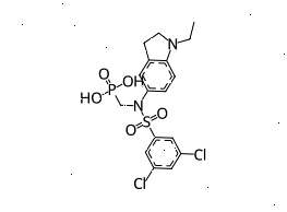 CCN1CCc2cc(N(CP(=O)(O)O)S(=O)(=O)c3cc(Cl)cc(Cl)c3)ccc21